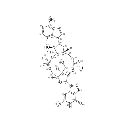 Nc1nc2c(ncn2[C@@H]2O[C@@H]3CO[P@@](=O)(S)O[C@@H]4[C@@H](CO[P@](=O)(S)O[C@@H]2[C@@H]3CO)C[C@@H](n2ccc3c(N)ncnc32)[C@@H]4O)c(=O)[nH]1